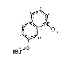 CCCCOc1ccc2ccc[n+]([O-])c2c1